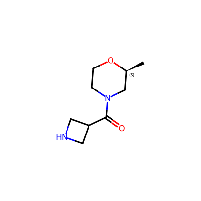 C[C@H]1CN(C(=O)C2CNC2)CCO1